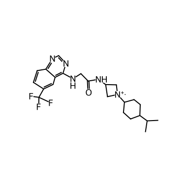 CC(C)C1CCC([N+]2CC(NC(=O)CNc3ncnc4ccc(C(F)(F)F)cc34)C2)CC1